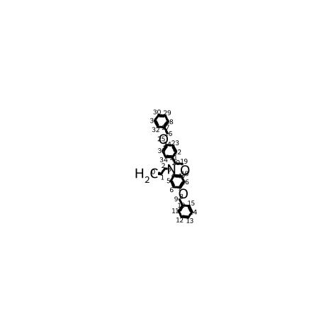 C=CCN1c2ccc(OCc3ccccc3)cc2OCC1c1ccc(OCc2ccccc2)cc1